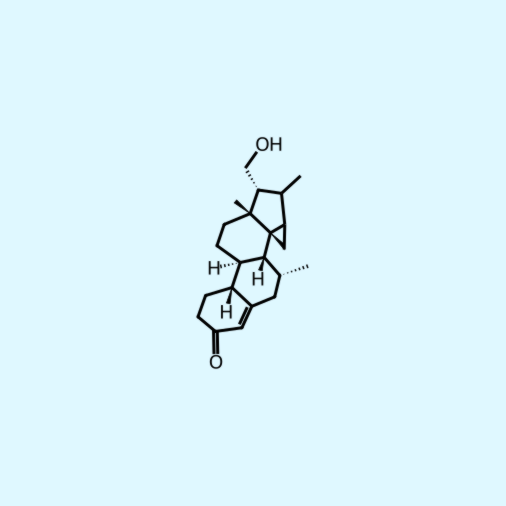 CC1C2C[C@]23[C@H]2[C@H](CC[C@]3(C)[C@@H]1CO)[C@H]1CCC(=O)C=C1C[C@H]2C